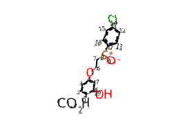 O=C(O)c1ccc(OCC[S+]([O-])c2ccc(Cl)cc2)cc1O